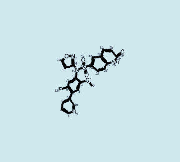 COc1cc(-c2cccnc2)c(F)cc1N(c1ccon1)S(=O)(=O)c1ccc2[nH]c(=O)ccc2c1